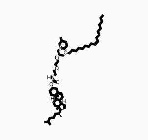 CCCCCCCC/C=C\CCCCCCCCOCC(CN1CCCC(C)C1)OCCOCCNC(=O)O[C@H]1CCC2(C)C(=CCC3[C@@H]2CCC2(C)[C@@H]([C@@H](C)CCCC(C)C)CC[C@@H]32)C1